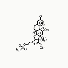 C[C@]12C=CC(=O)C=C1CC[C@@H]1[C@@H]2C(O)C[C@@]2(C)[C@H]1CC(OCCOS(C)(=O)=O)[C@]2(O)C(=O)CO